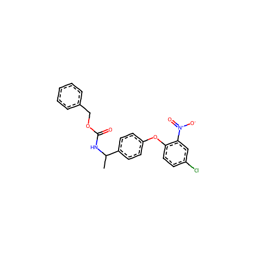 CC(NC(=O)OCc1ccccc1)c1ccc(Oc2ccc(Cl)cc2[N+](=O)[O-])cc1